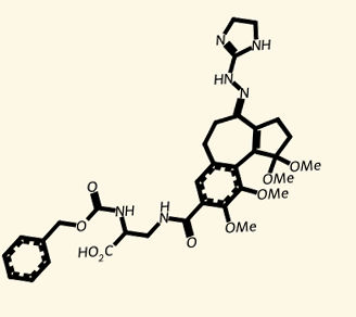 COc1c(C(=O)NCC(NC(=O)OCc2ccccc2)C(=O)O)cc2c(c1OC)C1=C(CCC1(OC)OC)C(=NNC1=NCCN1)CC2